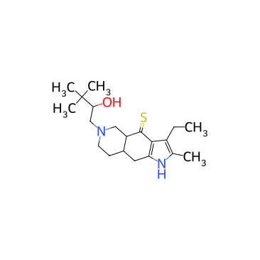 CCc1c(C)[nH]c2c1C(=S)C1CN(CC(O)C(C)(C)C)CCC1C2